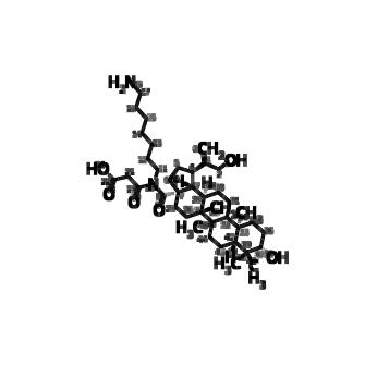 C=C(CO)[C@@H]1CC[C@]2(C(=O)N(CCCCCCCN)C(=O)CC(=O)O)CC[C@]3(C)[C@H](CCC4[C@@]5(C)CC[C@H](O)C(C)(C)[C@@H]5CC[C@]43C)[C@@H]12